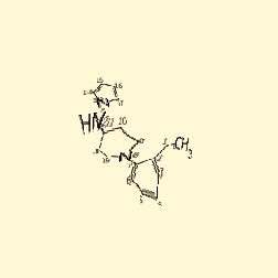 CCc1ccccc1N1CCC(Nn2cccc2)CC1